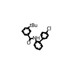 CC(C)(C)c1cccc(C(=O)Nc2ccccc2-c2ccc(Cl)cc2)c1